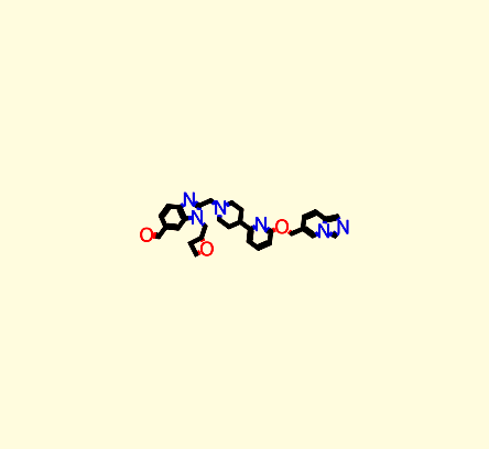 O=Cc1ccc2nc(CN3CCC(c4cccc(OCc5ccc6cncn6c5)n4)CC3)n(CC3CCO3)c2c1